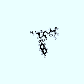 CCN(CC)C(=O)[C@H](C)N1CC[C@H](N(CC(N)=O)S(=O)(=O)c2ccc3cc(Cl)ccc3c2)C1=O